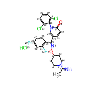 CC(=N)N1CCC(O/N=C(/c2ccc(=O)n(-c3c(Cl)cccc3Cl)c2)c2ccc(F)cc2F)CC1.Cl